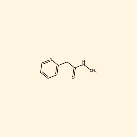 CNC(=O)Cc1ccccn1